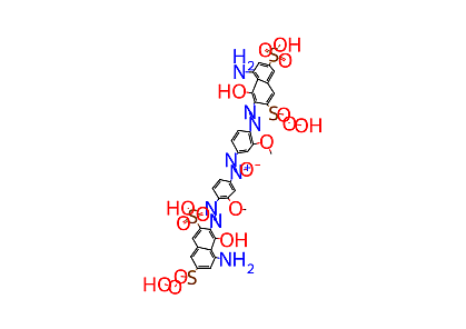 COc1cc(/N=[N+](\[O-])c2ccc(/N=N/c3c(S(=O)(=O)O)cc4cc(SOOO)cc(N)c4c3O)c(OC)c2)ccc1/N=N/c1c(SOOO)cc2cc(S(=O)(=O)O)cc(N)c2c1O